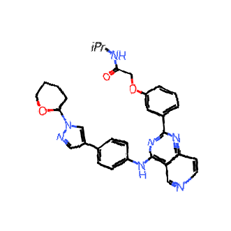 CC(C)NC(=O)COc1cccc(-c2nc(Nc3ccc(-c4cnn(C5CCCCO5)c4)cc3)c3cnccc3n2)c1